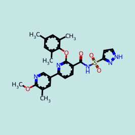 COc1ncc(-c2ccc(C(=O)NS(=O)(=O)c3cc[nH]n3)c(Oc3c(C)cc(C)cc3C)n2)cc1C